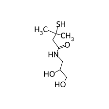 CC(C)(S)CC(=O)NCC(O)CO